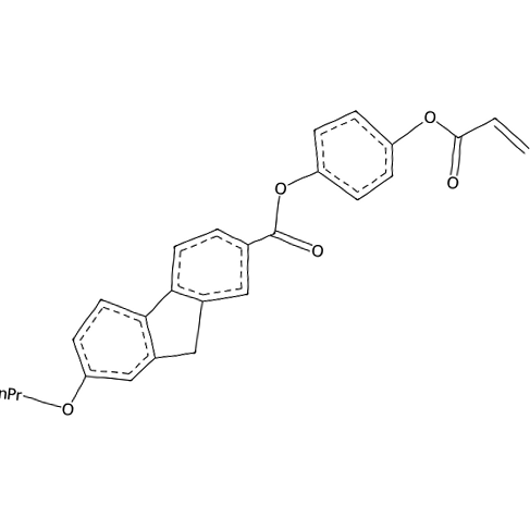 C=CC(=O)Oc1ccc(OC(=O)c2ccc3c(c2)Cc2cc(OCCC)ccc2-3)cc1